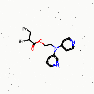 CC(C)CC(C(=O)OCCN(c1ccncc1)c1cccnc1)C(C)C